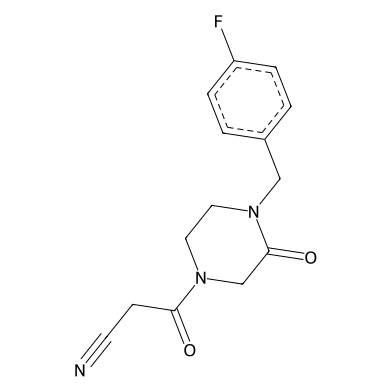 N#CCC(=O)N1CCN(Cc2ccc(F)cc2)C(=O)C1